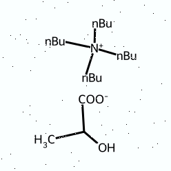 CC(O)C(=O)[O-].CCCC[N+](CCCC)(CCCC)CCCC